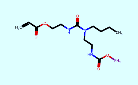 C=CC(=O)OCCNC(=O)N(CCCC)CCNC(=O)OP